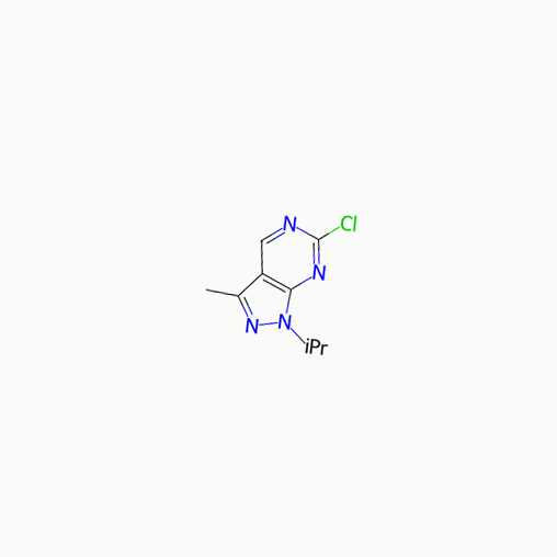 Cc1nn(C(C)C)c2nc(Cl)ncc12